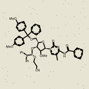 COc1ccc(C(OC[C@H]2O[C@@H](n3cc(C)c(NC(=O)c4ccccc4)nc3=O)C(OC)[C@H]2OP(OCCC#N)N(C(C)C)C(C)C)(c2ccccc2)c2ccc(OC)cc2)cc1